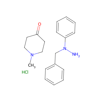 CN1CCC(=O)CC1.Cl.NN(Cc1ccccc1)c1ccccc1